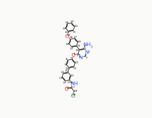 Nc1ncnc(Oc2ccc(-c3cccc(NC(=O)CCl)c3)cc2)c1-c1ccc(Oc2ccccc2)cc1